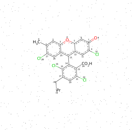 Cc1cc2oc3cc(=O)c(Cl)cc-3c(-c3c(Cl)c(CC(C)C)cc(Cl)c3C(=O)O)c2cc1Cl